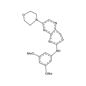 COc1cc(Nc2ccc3ncc(N4CCOCC4)nc3n2)cc(OC)c1